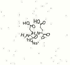 N[C@@H](CCC(=O)O)C(=O)O.N[C@@H](CCC(=O)O)C(=O)[O-].[Na+]